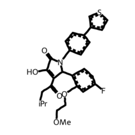 COCCOc1cc(F)ccc1C1C(C(=O)CC(C)C)=C(O)C(=O)N1c1ccc(-c2ccsc2)cc1